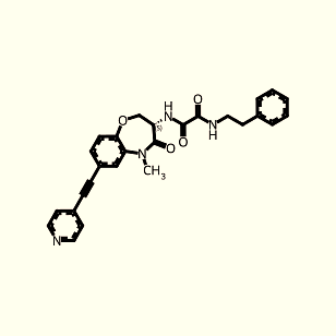 CN1C(=O)[C@@H](NC(=O)C(=O)NCCc2ccccc2)COc2ccc(C#Cc3ccncc3)cc21